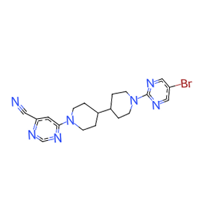 N#Cc1cc(N2CCC(C3CCN(c4ncc(Br)cn4)CC3)CC2)ncn1